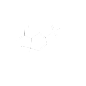 O=C(O)C1C=C(S(=O)(=O)O)C=CC1(O)Br